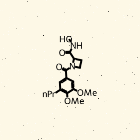 CCCc1cc(C(=O)N2CCC2C(=O)NO)cc(OC)c1OC